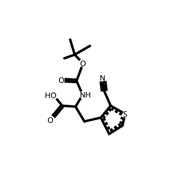 CC(C)(C)OC(=O)NC(Cc1ccsc1C#N)C(=O)O